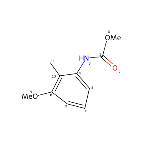 COC(=O)Nc1cccc(OC)c1C